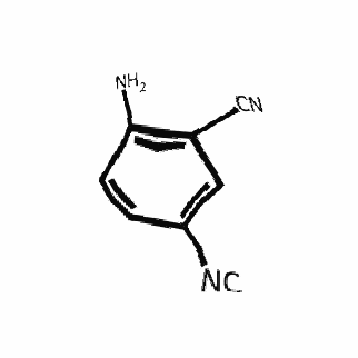 [C-]#[N+]c1ccc(N)c(C#N)c1